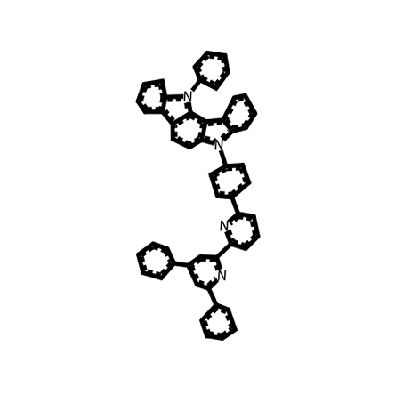 c1ccc(-c2cc(-c3ccccc3)nc(-c3cccc(-c4ccc(-n5c6ccccc6c6c5ccc5c7ccccc7n(-c7ccccc7)c56)cc4)n3)c2)cc1